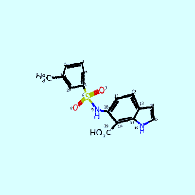 Cc1cccc(S(=O)(=O)Nc2ccc3cc[nH]c3c2C(=O)O)c1